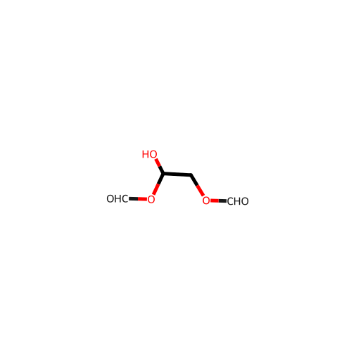 O=COCC(O)OC=O